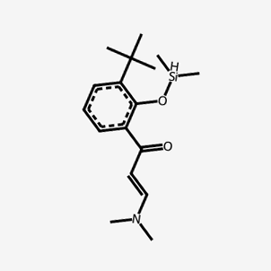 CN(C)/C=C/C(=O)c1cccc(C(C)(C)C)c1O[SiH](C)C